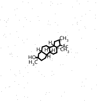 CC(=O)C1[C@H](C)C[C@H]2[C@@H]3CC[C@H]4C[C@](C)(O)CC[C@@H]4[C@H]3CC[C@]12C